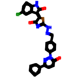 O=C1N=C(NN=Cc2ccc(-n3nc(-c4ccccc4)ccc3=O)cc2)SC1=C1C(=O)Nc2ccc(Cl)cc21